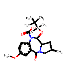 C=C1CC2C(O[Si](C)(C)C(C)(C)C)N(C(=O)O)c3ccc(OC)cc3C(=O)N2C1